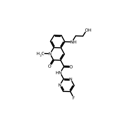 Cn1c(=O)c(C(=O)Nc2ncc(F)cn2)cc2c(NCCO)cccc21